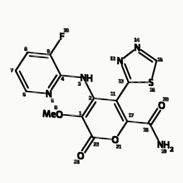 COc1c(Nc2ncccc2F)c(-c2nncs2)c(C(N)=O)oc1=O